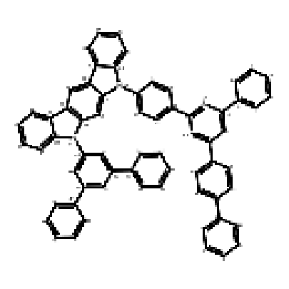 c1ccc(-c2ccc(-c3cc(-c4ccccc4)nc(-c4ccc(-n5c6ccccc6c6cc7c8ccccc8n(-c8cc(-c9ccccc9)cc(-c9ccccc9)c8)c7cc65)cc4)n3)cc2)cc1